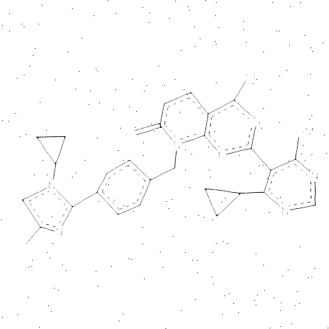 COc1ncnc(C2CC2)c1-c1nc(C)c2ccc(=O)n(Cc3ccc(-c4nc(C(F)(F)F)cn4C4CC4)cc3)c2n1